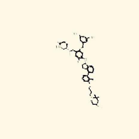 Cc1c(OCCCN2CCC(O)CC2(C)C)cccc1-c1cccc2c1CC[C@@H]2Oc1cc(OCc2cc(C#N)cc(C#N)c2)c(CN[C@H]2CCC(=O)NC2)cc1Cl